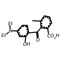 CCN(CC)c1ccc(C(=O)c2c(C)cccc2C(=O)O)c(O)c1